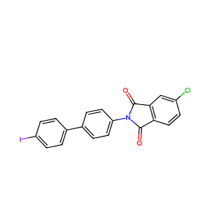 O=C1c2ccc(Cl)cc2C(=O)N1c1ccc(-c2ccc(I)cc2)cc1